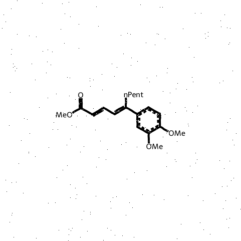 CCCCCC(=CC=CC(=O)OC)c1ccc(OC)c(OC)c1